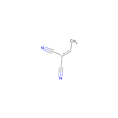 CC=C(C#N)C#N